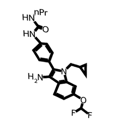 CCCNC(=O)Nc1ccc(-c2c(N)c3ccc(OC(F)F)cc3n2CC2CC2)cc1